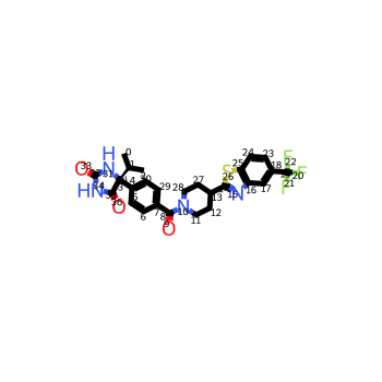 CC(C)[C@]1(c2ccc(C(=O)N3CCC(c4nc5cc(C(F)(F)F)ccc5s4)CC3)cc2)NC(=O)NC1=O